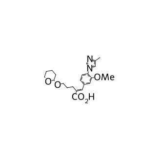 COc1cc(C=C(CCCOC2CCCCO2)C(=O)O)ccc1-n1cnc(C)c1